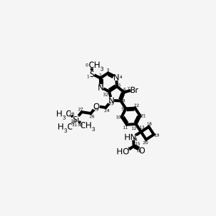 CSc1cnc2c(Br)c(-c3ccc(C4(NC(=O)O)CCC4)cc3)n(COCC[Si](C)(C)C)c2n1